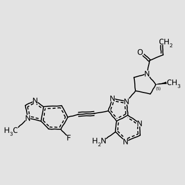 C=CC(=O)N1CC(n2nc(C#Cc3cc4ncn(C)c4cc3F)c3c(N)ncnc32)C[C@@H]1C